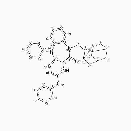 O=C(NC1C(=O)N(CC2C3CC4CC(C3)CC2C4)c2ccccc2N(c2ccccc2)C1=O)Oc1ccccc1